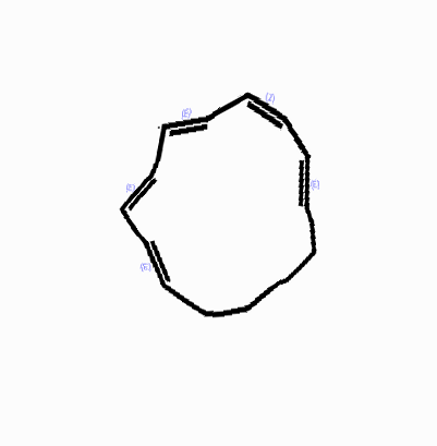 [C]1=C/C=C\C=C\CCCC/C=C/C=C/1